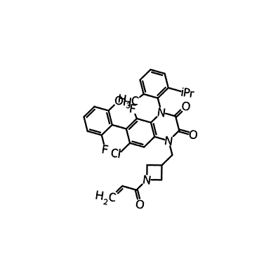 C=CC(=O)N1CC(Cn2c(=O)c(=O)n(-c3c(C)cccc3C(C)C)c3c(F)c(-c4c(O)cccc4F)c(Cl)cc32)C1